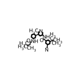 Cc1ncc(NC(=O)c2cc(C#N)cc(C(C)(C)C)c2)cc1-c1cccc(NC(=O)CC(C)(C)C)c1